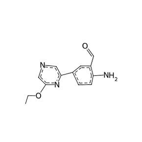 CCOc1cncc(-c2ccc(N)c(C=O)c2)n1